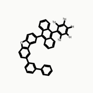 [2H]c1c([2H])c([2H])c(-c2c3ccccc3c(-c3ccc4oc5ccc(-c6cccc(-c7ccccc7)c6)cc5c4c3)c3ccccc23)c([2H])c1[2H]